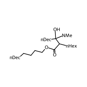 CCCCCCCCCCCCCCOC(=O)C(CCCCCC)C(O)(CCCCCCCCCC)NC